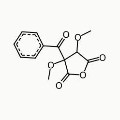 COC1C(=O)OC(=O)C1(OC)C(=O)c1ccccc1